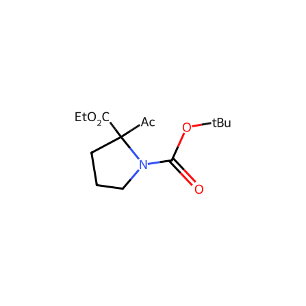 CCOC(=O)C1(C(C)=O)CCCN1C(=O)OC(C)(C)C